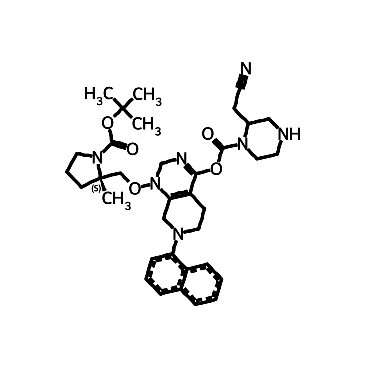 CC(C)(C)OC(=O)N1CCC[C@@]1(C)CON1CN=C(OC(=O)N2CCNCC2CC#N)C2=C1CN(c1cccc3ccccc13)CC2